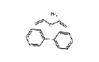 C=COC=C.P.c1ccc(-c2ccccc2)cc1